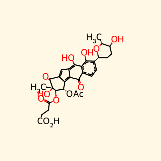 CC(=O)O[C@H]1C2=C3C(=O)c4ccc([C@H]5CC[C@H](O)[C@@H](C)O5)c(O)c4C(O)=C3C=C2C(=O)[C@@](C)(O)[C@@H]1OC(=O)CCC(=O)O